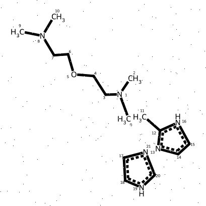 CN(C)CCOCCN(C)C.Cc1ncc[nH]1.c1c[nH]cn1